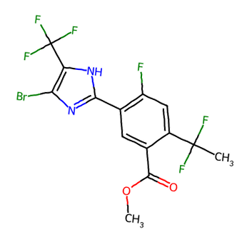 COC(=O)c1cc(-c2nc(Br)c(C(F)(F)F)[nH]2)c(F)cc1C(C)(F)F